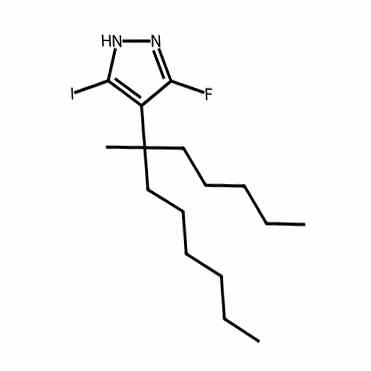 CCCCCCC(C)(CCCCC)c1c(F)n[nH]c1I